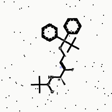 C[C@H](N[S+]([O-])C(C)(C)C)/C(F)=C/CO[Si](c1ccccc1)(c1ccccc1)C(C)(C)C